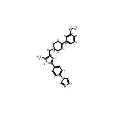 Cc1oc(-c2ccc(-n3ccnc3)cc2)nc1CN1CC=C(c2cccc(OC(F)(F)F)c2)CC1